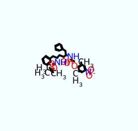 Cc1cc([N+](=O)[O-])cc(C)c1OCC(=O)NC(Cc1ccccc1)C(O)CC(Cc1ccccc1)NC(=O)OC(C)(C)C